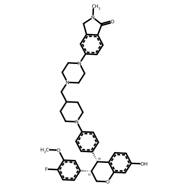 COc1cc([C@H]2COc3cc(O)ccc3[C@H]2c2ccc(N3CCC(CN4CCN(c5ccc6c(c5)CN(C)C6=O)CC4)CC3)cc2)ccc1F